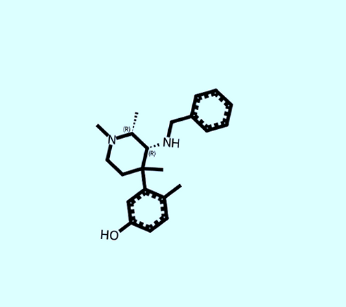 Cc1ccc(O)cc1C1(C)CCN(C)[C@H](C)[C@@H]1NCc1ccccc1